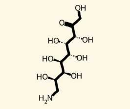 NC[C@@H](O)[C@H](O)[C@@H](O)[C@@H](O)[C@H](O)[C@@H](O)C(=O)CO